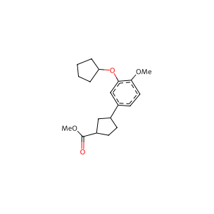 COC(=O)C1CCC(c2ccc(OC)c(OC3CCCC3)c2)C1